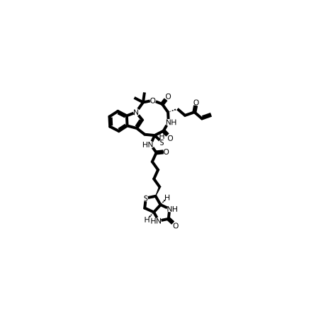 C=CC(=O)CC[C@@H]1NC(=O)C(S)(NC(=O)CCCC[C@@H]2SC[C@@H]3NC(=O)N[C@@H]32)Cc2cn(c3ccccc23)C(C)(C)OC1=O